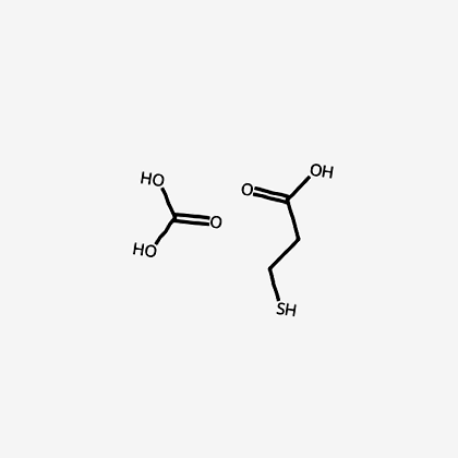 O=C(O)CCS.O=C(O)O